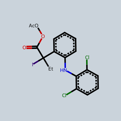 CCC(I)(C(=O)OOC(C)=O)c1ccccc1Nc1c(Cl)cccc1Cl